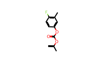 C=C(C)OC(=O)Oc1ccc(F)c(C)c1